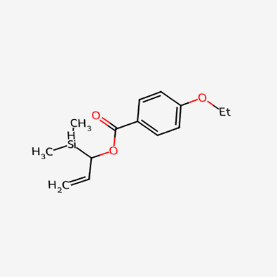 C=CC(OC(=O)c1ccc(OCC)cc1)[SiH](C)C